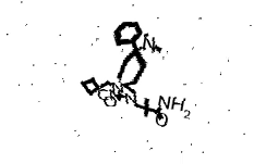 CN(C)[C@]1(c2ccccc2)CC[C@]2(CC1)CN(CC(C)(C)C(N)=O)C(=O)N2CC1(C#N)CCC1